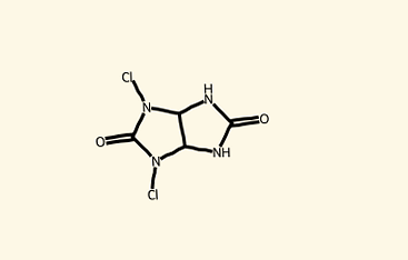 O=C1NC2C(N1)N(Cl)C(=O)N2Cl